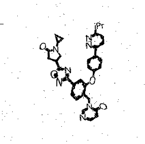 CC(C)c1ccc(-c2ccc(Oc3cc(-c4noc(C5CC(=O)N(C6CC6)C5)n4)ccc3Cn3cnccc3=O)cc2)nn1